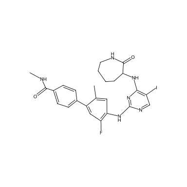 CNC(=O)c1ccc(-c2cc(F)c(Nc3ncc(I)c(NC4CCCCNC4=O)n3)cc2C)cc1